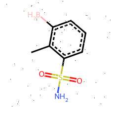 Bc1cccc(S(N)(=O)=O)c1C